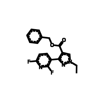 CCn1cc(C(=O)OCc2ccccc2)c(-c2ccc(F)nc2F)n1